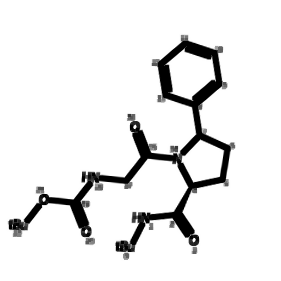 CC(C)(C)NC(=O)[C@@H]1CCC(c2ccccc2)N1C(=O)CNC(=O)OC(C)(C)C